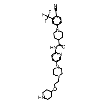 N#Cc1ccc(N2CCC(C(=O)Nc3ccc(N4CCN(CCOC5CCNCC5)CC4)cn3)CC2)cc1C(F)(F)F